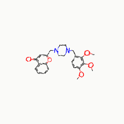 COc1ccc(CN2CCN(Cc3cc(=O)c4ccccc4o3)CC2)c(OC)c1OC